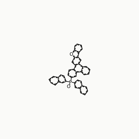 O=P(c1ccc2ccccc2c1)(c1ccc2ccccc2c1)c1ccc2c(c1)c1ccccc1c1cc3c(cc21)oc1ccccc13